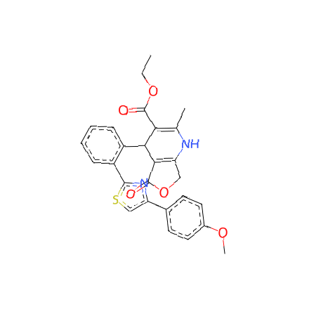 CCOC(=O)C1=C(C)NC2=C(C(=O)OC2)C1c1ccccc1-c1nc(-c2ccc(OC)cc2)cs1